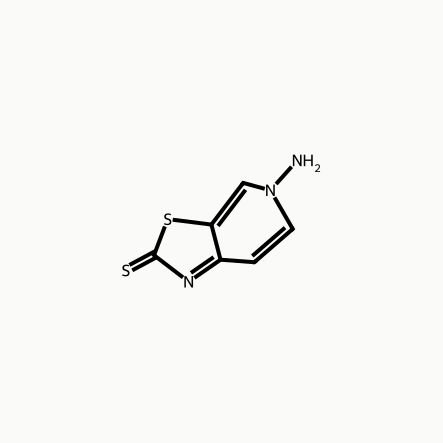 Nn1ccc2nc(=S)sc-2c1